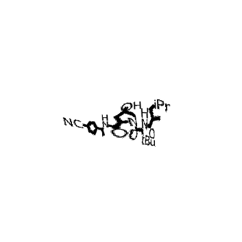 CC(C)CC(C)C(=O)NC(C(=O)N1CC(O)CC1C(=O)NC(C)c1ccc(C#N)cc1)C(C)(C)C